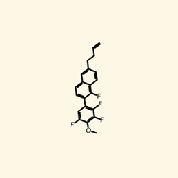 C=CCCc1ccc2c(F)c(-c3cc(F)c(OC)c(F)c3F)ccc2c1